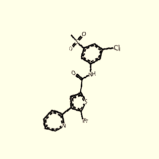 CC(C)c1sc(C(=O)Nc2cc(Cl)cc(S(C)(=O)=O)c2)cc1-c1ccccn1